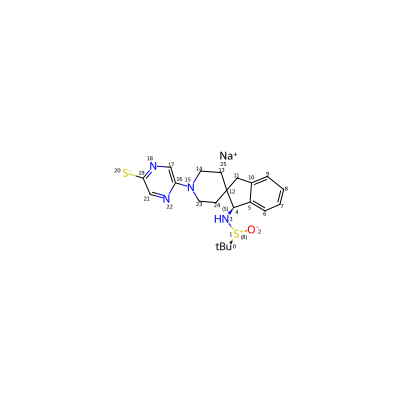 CC(C)(C)[S@+]([O-])N[C@@H]1c2ccccc2CC12CCN(c1cnc([S-])cn1)CC2.[Na+]